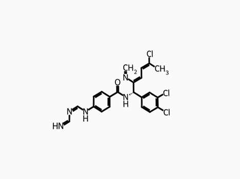 C=N/C(=C\C=C(/C)Cl)[C@@H](NC(=O)c1ccc(N/C=N\C=N)cc1)c1ccc(Cl)c(Cl)c1